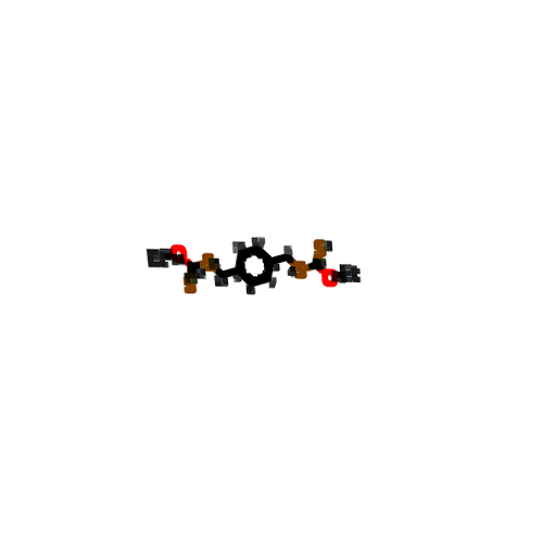 CCOC(=S)SCc1ccc(CSC(=S)OCC)cc1